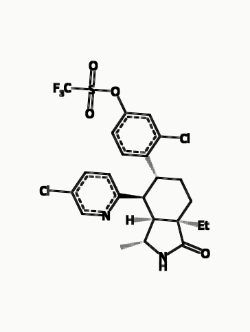 CC[C@@]12CC[C@@H](c3ccc(OS(=O)(=O)C(F)(F)F)cc3Cl)[C@H](c3ccc(Cl)cn3)[C@@H]1[C@@H](C)NC2=O